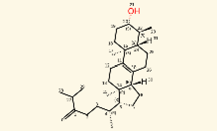 C=C(CC[C@@H](C)[C@H]1CC[C@H]2C3=C(CC[C@]12C)[C@@]1(C)CC[C@H](O)[C@@H](C)[C@@H]1CC3)C(C)C